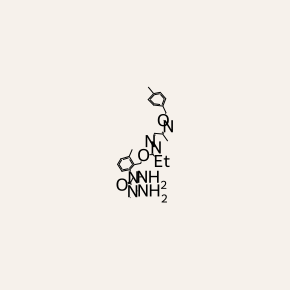 CC/C(=N/N=C\C(C)=NOCc1ccc(C)cc1)OCc1c(C)cccc1N(N)C(=O)N(C)N